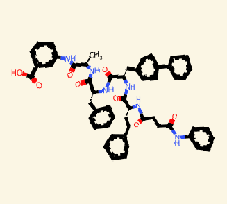 C[C@H](NC(=O)[C@@H](Cc1ccccc1)NC(=O)[C@H](Cc1ccc(-c2ccccc2)cc1)NC(=O)[C@@H](CCc1ccccc1)NC(=O)CCC(=O)Nc1ccccc1)C(=O)Nc1cccc(C(=O)O)c1